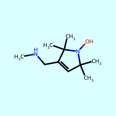 CNCC1=CC(C)(C)N(O)C1(C)C